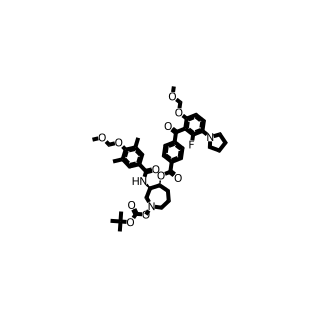 COCOc1ccc(N2CCCC2)c(F)c1C(=O)c1ccc(C(=O)O[C@@H]2CCCN(OC(=O)OC(C)(C)C)C[C@H]2NC(=O)c2cc(C)c(OCOC)c(C)c2)cc1